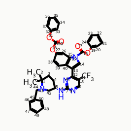 CC1(C)CC[C@H](Nc2ncc(C(F)(F)F)c(-c3cn(C(=O)Oc4ccccc4)c4cc(OC(=O)Oc5ccccc5)ccc34)n2)CN1Cc1ccccc1